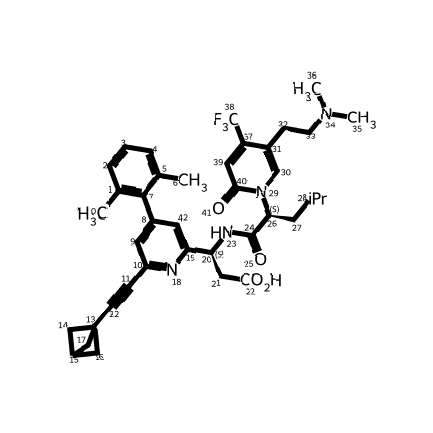 Cc1cccc(C)c1-c1cc(C#CC23CC(C2)C3)nc([C@H](CC(=O)O)NC(=O)[C@H](CC(C)C)n2cc(CCN(C)C)c(C(F)(F)F)cc2=O)c1